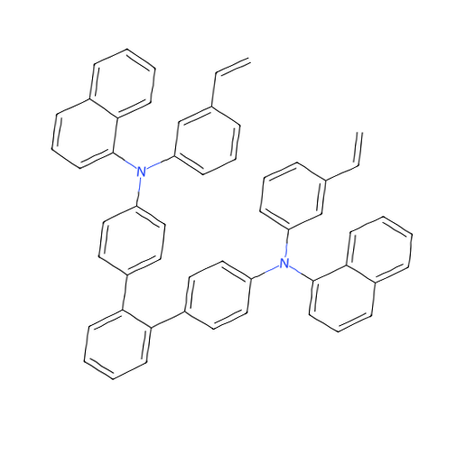 C=Cc1cccc(N(c2ccc(-c3ccccc3-c3ccc(N(c4cccc(C=C)c4)c4cccc5ccccc45)cc3)cc2)c2cccc3ccccc23)c1